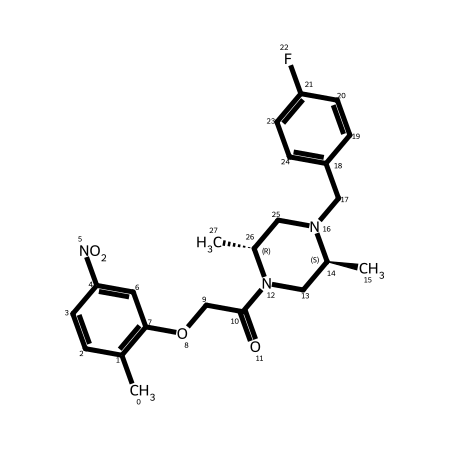 Cc1ccc([N+](=O)[O-])cc1OCC(=O)N1C[C@H](C)N(Cc2ccc(F)cc2)C[C@H]1C